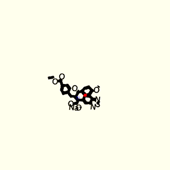 CCOC(=O)c1ccc(C/C(C(=O)c2ccc(OC)cc2)=C(\C(=O)[O-])c2ccc3nsnc3c2)cc1.[Na+]